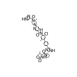 COC(=O)N[C@H](C(=O)N1CCC[C@H]1c1nc(-c2ccc(-c3cc(Cl)c(NC(=O)c4ccc(N5C[C@H](C)N(C(=O)c6c[nH]cn6)C[C@H]5C)nc4)cc3C)cc2)c[nH]1)C(C)C